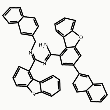 N/C(=N\C(=N/Cc1ccc2ccccc2c1)c1cccc2sc3ccccc3c12)c1cc(-c2ccc3ccccc3c2)cc2oc3ccccc3c12